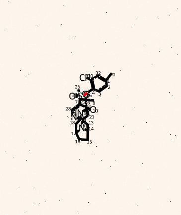 Cc1ccc(OC(C)(C)C(=O)NC2CC3CCC(C2)N3c2ccc(S(C)(=O)=O)cn2)c(Cl)c1